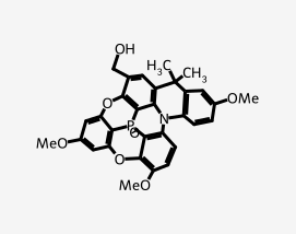 COc1cc2c3c(c1)Oc1c(CO)cc4c5c1P3(=O)c1c(ccc(OC)c1O2)N5c1ccc(OC)cc1C4(C)C